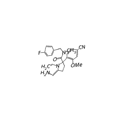 C=CN1/C(=C\N)CCC1(C(=O)N(C)Cc1ccc(F)cc1)c1ccc(C#N)cc1OC